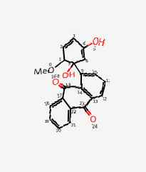 COC1C=CC(O)=CC1(O)c1cccc2c1C(=O)c1ccccc1C2=O